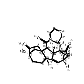 C=C1C[C@]23C[C@@]1(O)CC[C@H]2C1=C[C@H]2CC(=O)[C@@](C)([C@H]1[C@@H]3C(=O)N1CCOCC1)[C@H]2O